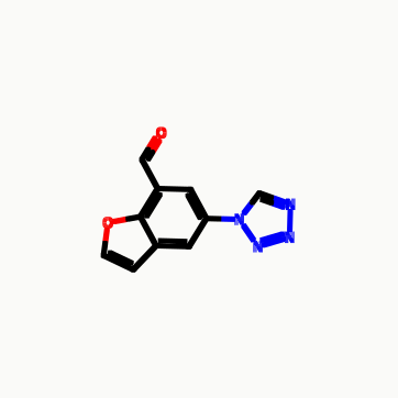 O=Cc1cc(-n2cnnn2)cc2ccoc12